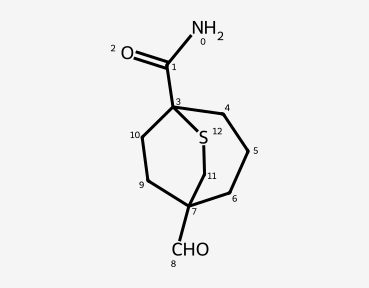 NC(=O)C12CCCC(C=O)(CC1)CS2